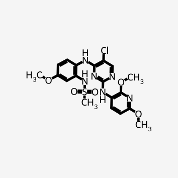 COc1ccc(Nc2nc(Nc3ccc(OC)nc3OC)ncc2Cl)c(NS(C)(=O)=O)c1